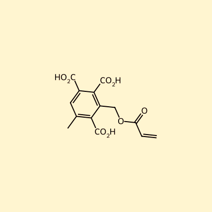 C=CC(=O)OCc1c(C(=O)O)c(C)cc(C(=O)O)c1C(=O)O